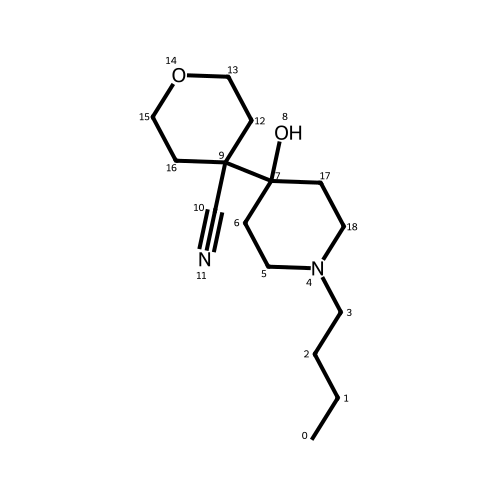 CCCCN1CCC(O)(C2(C#N)CCOCC2)CC1